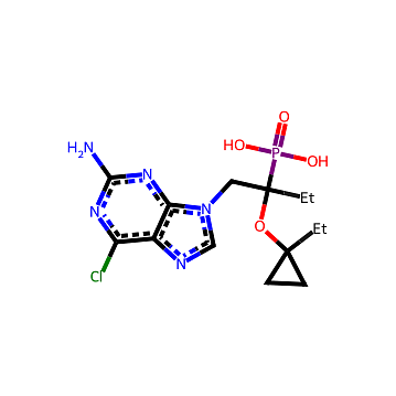 CCC1(OC(CC)(Cn2cnc3c(Cl)nc(N)nc32)P(=O)(O)O)CC1